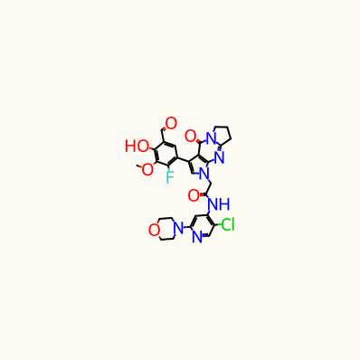 COc1c(O)c(C=O)cc(-c2cn(CC(=O)Nc3cc(N4CCOCC4)ncc3Cl)c3nc4n(c(=O)c23)CCC4)c1F